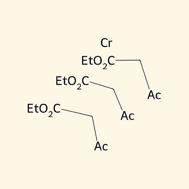 CCOC(=O)CC(C)=O.CCOC(=O)CC(C)=O.CCOC(=O)CC(C)=O.[Cr]